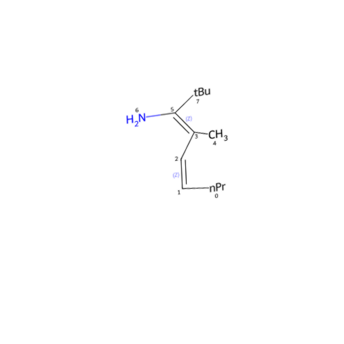 CCC/C=C\C(C)=C(/N)C(C)(C)C